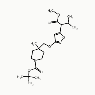 COC(=O)C(c1cc(OCC2(C)CCN(C(=O)OC(C)(C)C)CC2)no1)C(C)C